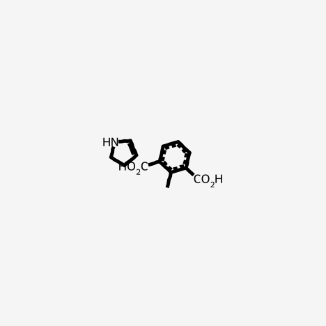 C1=CNCC1.Cc1c(C(=O)O)cccc1C(=O)O